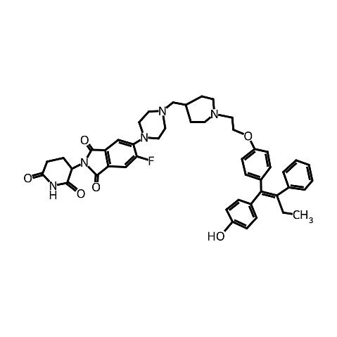 CCC(=C(c1ccc(O)cc1)c1ccc(OCCN2CCC(CN3CCN(c4cc5c(cc4F)C(=O)N(C4CCC(=O)NC4=O)C5=O)CC3)CC2)cc1)c1ccccc1